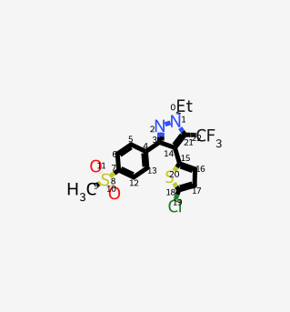 CCn1nc(-c2ccc(S(C)(=O)=O)cc2)c(-c2ccc(Cl)s2)c1C(F)(F)F